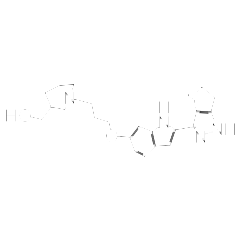 OCC1CCCN(CCCOc2ccc3cc(-c4n[nH]c5c4SCC5)[nH]c3c2)C1